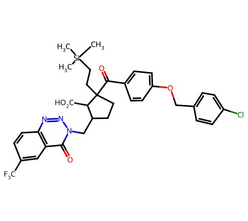 C[Si](C)(C)CCC1(C(=O)c2ccc(OCc3ccc(Cl)cc3)cc2)CCC(Cn2nnc3ccc(C(F)(F)F)cc3c2=O)C1C(=O)O